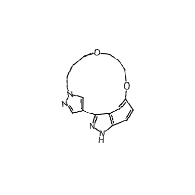 c1cc2[nH]nc3c2cc1OCCCOCCCn1cc-3cn1